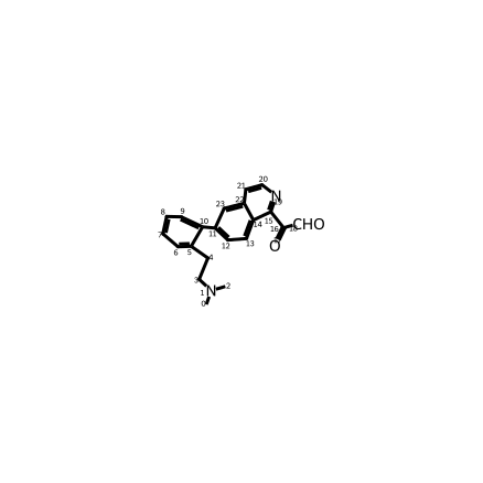 CN(C)CCc1ccccc1-c1ccc2c(C(=O)C=O)nccc2c1